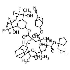 CCC1(OC(=O)C(C)(CC(C)(CC(C)(C)C(=O)OC2CC(C(C)(O)C(F)(F)F)CC(C(O)(C(F)(F)F)C(F)(F)F)C2)C(=O)OC2CC3CC2CC3C#N)CC(C)(CC)C(=O)OC2(C(C)C)C3CC4CC(C3)CC2C4)CCCC1